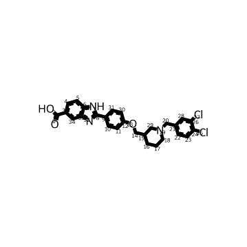 O=C(O)c1ccc2[nH]c(-c3ccc(OCC4CCCN(Cc5ccc(Cl)c(Cl)c5)C4)cc3)nc2c1